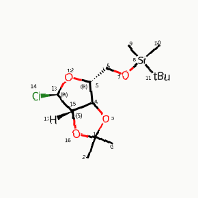 CC1(C)OC2[C@@H](CO[Si](C)(C)C(C)(C)C)O[C@H](Cl)[C@H]2O1